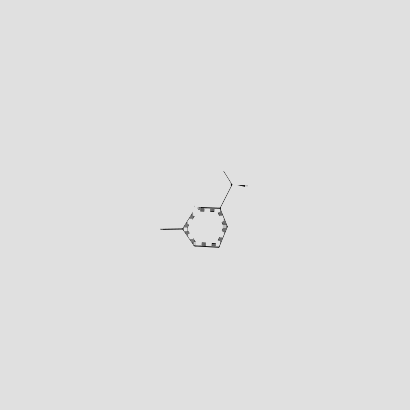 CC[C@H](O)c1cccc(Cl)n1